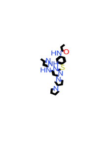 CCC(=O)Nc1ccc(Sc2nc(Nc3cc(C)n[nH]3)cc(N3CCC(N4CCCC4)C3)n2)cc1